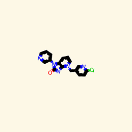 O=c1nc2n(Cc3ccc(Cl)nc3)cccc-2n1-c1cccnc1